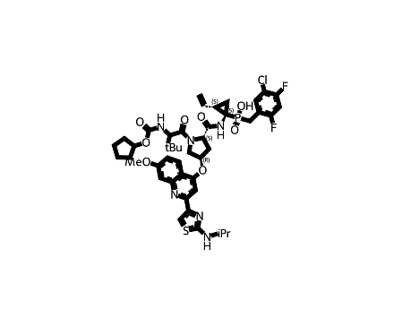 C=C[C@@H]1C[C@]1(NC(=O)[C@@H]1C[C@@H](Oc2cc(-c3csc(NC(C)C)n3)nc3cc(OC)ccc23)CN1C(=O)C(NC(=O)OC1CCCC1)C(C)(C)C)P(=O)(O)Cc1cc(Cl)c(F)cc1F